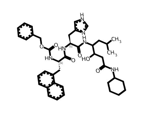 CC(C)CC(NC(=O)[C@H](Cc1c[nH]cn1)NC(=O)[C@H](Cc1cccc2ccccc12)NC(=O)OCc1ccccc1)C(O)CC(=O)NC1CCCCC1